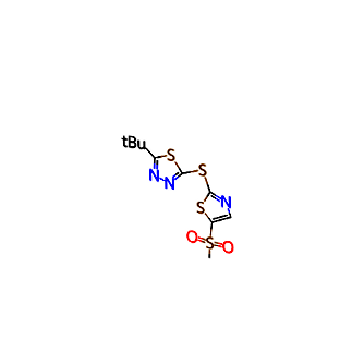 CC(C)(C)c1nnc(Sc2ncc(S(C)(=O)=O)s2)s1